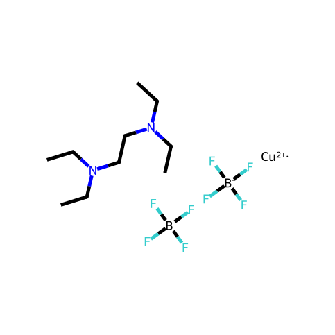 CCN(CC)CCN(CC)CC.F[B-](F)(F)F.F[B-](F)(F)F.[Cu+2]